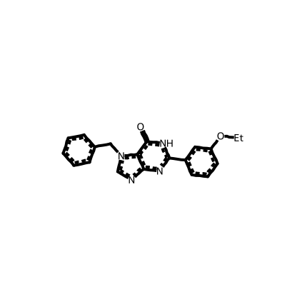 CCOc1cccc(-c2nc3ncn(Cc4ccccc4)c3c(=O)[nH]2)c1